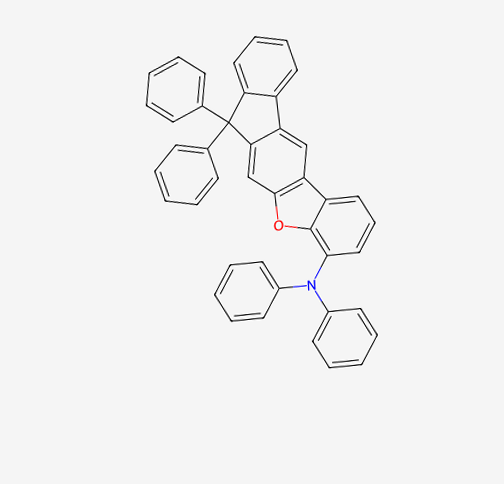 c1ccc(N(c2ccccc2)c2cccc3c2oc2cc4c(cc23)-c2ccccc2C4(c2ccccc2)c2ccccc2)cc1